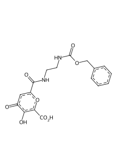 O=C(NCCNC(=O)c1cc(=O)c(O)c(C(=O)O)o1)OCc1ccccc1